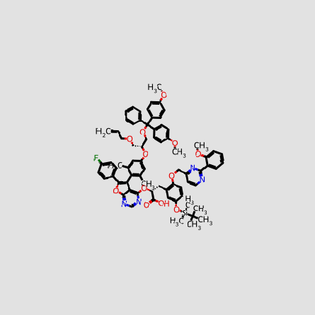 C=CCOC[C@H](COC(c1ccccc1)(c1ccc(OC)cc1)c1ccc(OC)cc1)Oc1cc(C)c(-c2c(-c3ccc(F)cc3)oc3ncnc(O[C@H](Cc4cc(O[Si](C)(C)C(C)(C)C)ccc4OCc4ccnc(-c5ccccc5OC)n4)C(=O)O)c23)c(C)c1